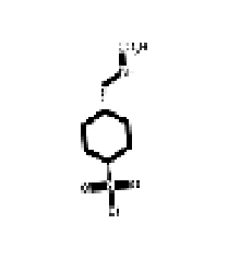 CCS(=O)(=O)[C@H]1CC[C@H](CNC(=O)O)CC1